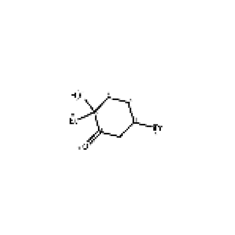 CCC1(C)CCC(C(C)C)CC1=O